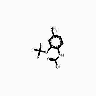 Nc1ccc(NC(=O)O)c(OC(F)(F)F)c1